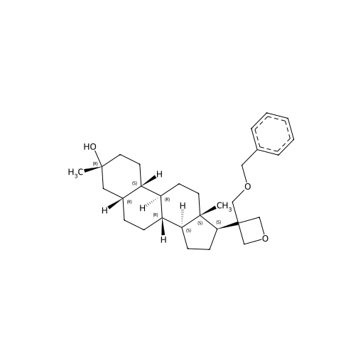 C[C@@]1(O)CC[C@H]2[C@H](CC[C@@H]3[C@@H]2CC[C@]2(C)[C@@H](C4(COCc5ccccc5)COC4)CC[C@@H]32)C1